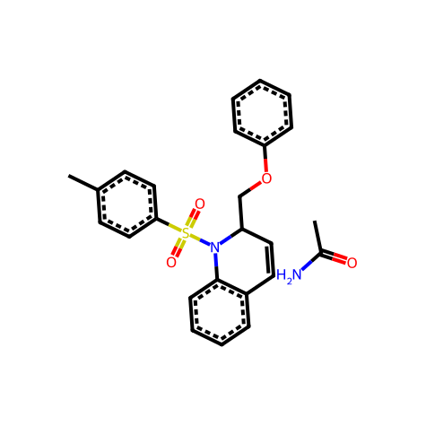 CC(N)=O.Cc1ccc(S(=O)(=O)N2c3ccccc3C=CC2COc2ccccc2)cc1